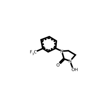 O=C1N(O)CCN1c1cccc(C(F)(F)F)c1